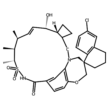 C[C@@H]1[C@@H](C)S(=O)(=O)NC(=O)c2ccc3c(c2)N(CC2CC[C@H]2[C@@H](O)/C=C/[C@@H]1C)C[C@@]1(CCCc2cc(Cl)ccc21)CO3